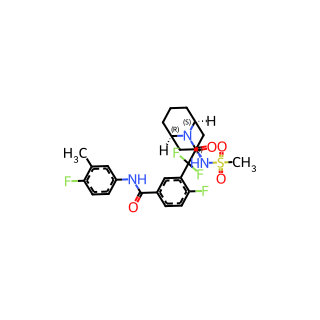 Cc1cc(NC(=O)c2ccc(F)c(C(F)(F)C(=O)N3[C@@H]4CCC[C@H]3C[C@@H](NS(C)(=O)=O)C4)c2)ccc1F